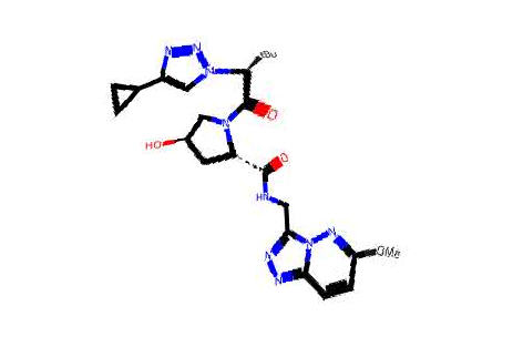 COc1ccc2nnc(CNC(=O)[C@@H]3C[C@@H](O)CN3C(=O)[C@@H](n3cc(C4CC4)nn3)C(C)(C)C)n2n1